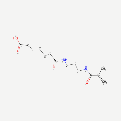 C=C(C)C(=O)NCCCNC(=O)CCCCCC(=O)O